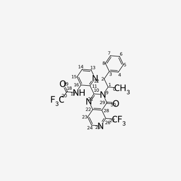 CC(Cc1ccccc1)n1c(-c2ncccc2NC(=O)C(F)(F)F)nc2ccnc(C(F)(F)F)c2c1=O